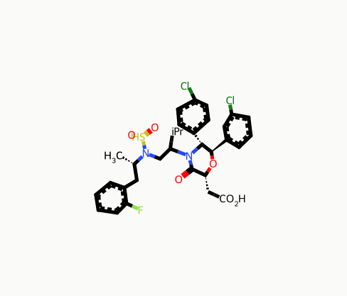 CC(C)C(CN([C@@H](C)Cc1ccccc1F)[SH](=O)=O)N1C(=O)[C@@H](CC(=O)O)O[C@H](c2cccc(Cl)c2)[C@H]1c1ccc(Cl)cc1